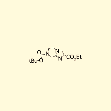 CCOC(=O)C1CN2CCN(C(=O)OC(C)(C)C)CC2=N1